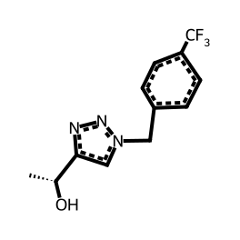 C[C@@H](O)c1cn(Cc2ccc(C(F)(F)F)cc2)nn1